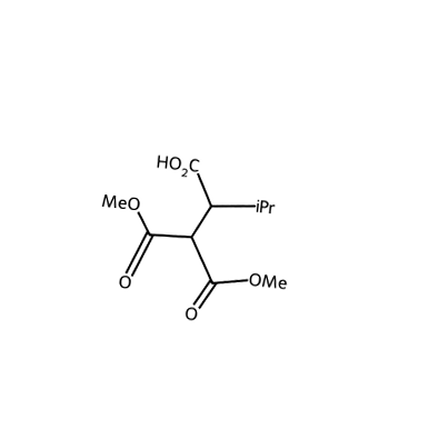 COC(=O)C(C(=O)OC)C(C(=O)O)C(C)C